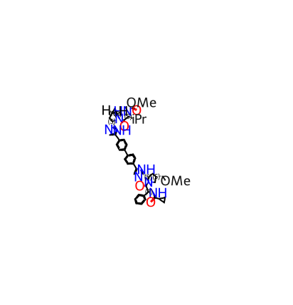 COC[C@H]1C[C@@H](c2ncc(-c3ccc(-c4ccc(-c5cnc([C@@H]6C[C@H]7C[C@H]7N6C(=O)[C@@H](NC(=O)OC)C(C)C)[nH]5)cc4)cc3)[nH]2)N(C(=O)[C@H](NC(=O)C2CC2)c2ccccc2)C1